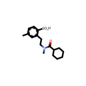 Cc1ccc(S(=O)(=O)O)c(CCN(C)C(=O)C2CCCCC2)c1